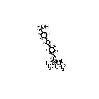 CC(C)(C)[Si](C)(C)OCc1ccc(C2CC(c3ccc(C(=O)O)cc3)C2)cc1